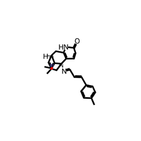 C/C=C1\[C@H]2C=C(C)C[C@]1(N=CC=Cc1ccc(C)cc1)c1ccc(=O)[nH]c1C2